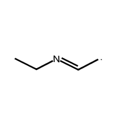 [CH2]C=NCC